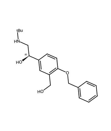 CC(C)(C)NC[C@H](O)c1ccc(OCc2ccccc2)c(CO)c1